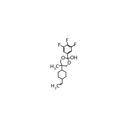 C=CC1CCC(C2(C)COC(O)(c3cc(F)c(F)c(F)c3)OC2)CC1